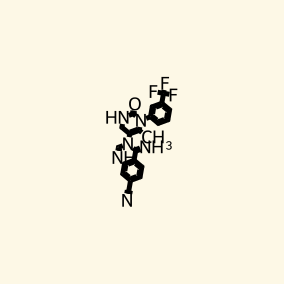 CC1=C(N(C=N)C(=N)c2ccc(C#N)cc2)CNC(=O)N1c1cccc(C(F)(F)F)c1